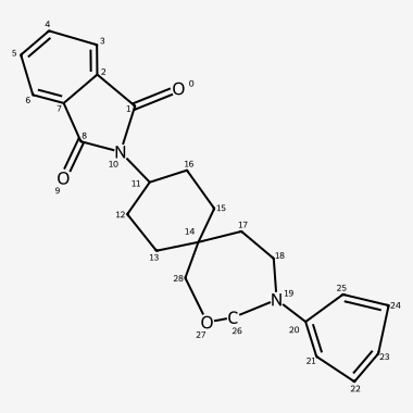 O=C1c2ccccc2C(=O)N1C1CCC2(CC1)CCN(c1ccccc1)COC2